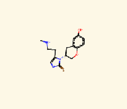 CNCCC1=C[N]C(=S)N1[C@H]1COc2ccc(O)cc2C1